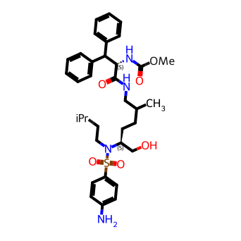 COC(=O)N[C@H](C(=O)NCC(C)CC[C@@H](CO)N(CCC(C)C)S(=O)(=O)c1ccc(N)cc1)C(c1ccccc1)c1ccccc1